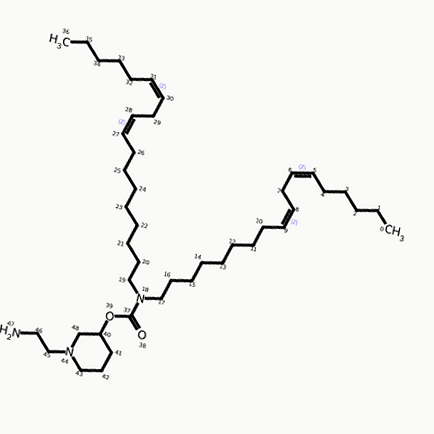 CCCCC/C=C\C/C=C\CCCCCCCCN(CCCCCCCC/C=C\C/C=C\CCCCC)C(=O)OC1CCCN(CCN)C1